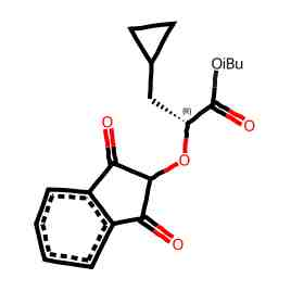 CC(C)COC(=O)[C@@H](CC1CC1)OC1C(=O)c2ccccc2C1=O